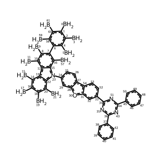 Bc1c(B)c(B)c(-c2c(B)c(B)c3c4c(B)c(B)c(B)c(B)c4n(-c4ccc5c(c4)oc4cc(-c6nc(-c7ccccc7)nc(-c7ccccc7)n6)ccc45)c3c2B)c(B)c1B